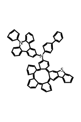 c1ccc(-c2ccc(N(c3ccc4c(c3)-c3ccccc3N(c3ccccc3)c3ccccc3-4)c3ccc4c(c3)c3ccccc3c3ccccc3c3ccccc3c3cc5c(cc43)sc3ccccc35)cc2)cc1